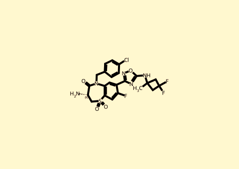 CC1(Nc2nc(-c3cc4c(cc3F)S(=O)(=O)C[C@H](N)C(=O)N4Cc3ccc(Cl)cc3)no2)CC(F)(F)C1